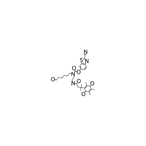 CC1=C(C)C(=O)C(C(C)(C)CC(=O)N(C)CCN(CCCCCC=O)C(=O)Oc2ccc3nc(C#N)sc3c2)=C(C)C1=O